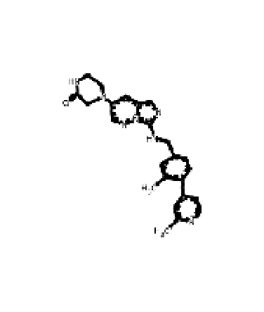 Cc1cc(-c2ccc(CNc3ncc4cc(N5CCNC(=O)C5)cnn34)cc2C)ccn1